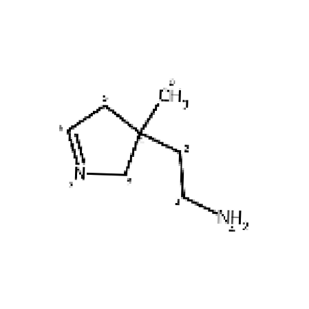 CC1(CCN)CC=NC1